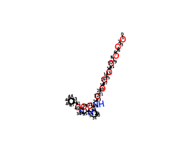 COCCOCCOCCOCCOCCOCCOCCOCCNC(=O)[C@@H]1CCCCN1CCN(C)C(=O)OCc1ccccc1